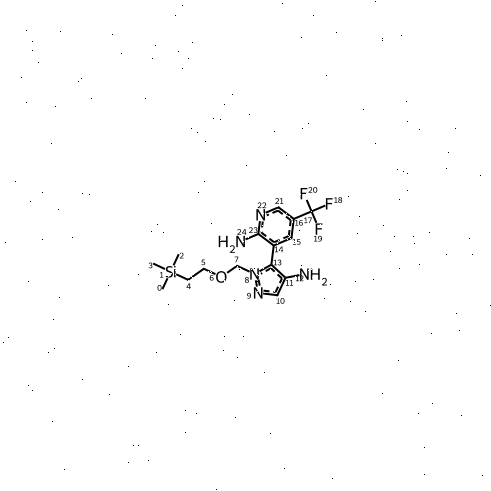 C[Si](C)(C)CCOCn1ncc(N)c1-c1cc(C(F)(F)F)cnc1N